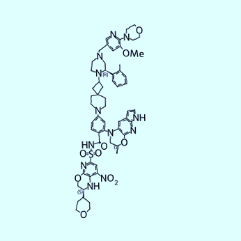 COc1cc(CN2CCN(C3CC4(CCN(c5ccc(C(=O)NS(=O)(=O)c6cc([N+](=O)[O-])c7c(n6)OC[C@H](C6CCOCC6)N7)c(N6C[C@H](C)Oc7nc8[nH]ccc8cc76)c5)CC4)C3)[C@H](c3ccccc3C)C2)cnc1N1CCOCC1